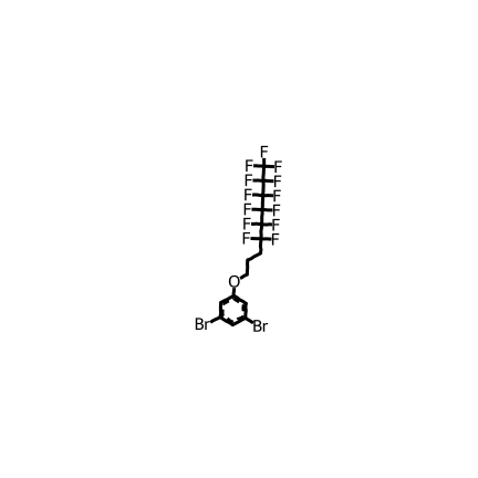 FC(F)(F)C(F)(F)C(F)(F)C(F)(F)C(F)(F)C(F)(F)CCCOc1cc(Br)cc(Br)c1